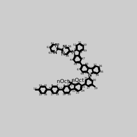 CCCCCCCCC1(CCCCCCCC)c2cc(-c3ccc(-c4ccc(C)cc4)cc3)ccc2-c2ccc(-c3cc(C)cc(-n4c5ccccc5c5cc(-c6ccc7c(c6)c6ccccc6n7-c6cnc(-c7ncccn7)nc6)ccc54)c3)cc21